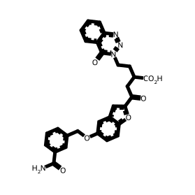 NC(=O)c1cccc(COc2ccc3oc(C(=O)CC(CCn4nnc5ccccc5c4=O)C(=O)O)cc3c2)c1